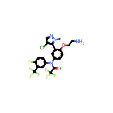 Cn1ncc(Cl)c1-c1cc(N(C(=O)C(F)(F)F)c2ccc(F)c(C(F)(F)F)c2)ccc1OCCN